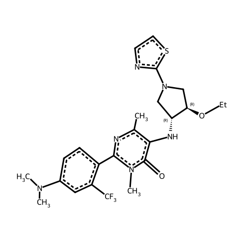 CCO[C@@H]1CN(c2nccs2)C[C@H]1Nc1c(C)nc(-c2ccc(N(C)C)cc2C(F)(F)F)n(C)c1=O